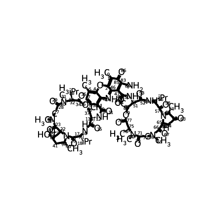 Cc1c2oc3c(C)ccc(C(=O)N[C@@H]4C(=O)N[C@H](C(C)C)C(=O)N5[C@H](C(=O)N(C)CC(=O)N(C)[C@@H](C(C)C)C(=O)O[C@@H]4C)[C@@H](O)C[C@@H]5C)c3nc-2c(C(=O)N[C@@H]2C(=O)N[C@H](C(C)C)C(=O)N3[C@@H](C)C(=O)C[C@H]3C(=O)N(C)CC(=O)N(C)[C@@H](C)C(=O)O[C@H]2CO)c(N)c1=O